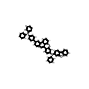 c1ccc(N(c2ccccc2)c2ccc(-c3ccc4cc5c6c(cccc6c4c3)Sc3cc(N(c4ccccc4)c4ccc6c(c4)oc4ccccc46)ccc3-5)cc2)cc1